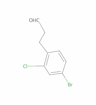 O=CCCc1ccc(Br)cc1Cl